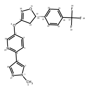 Cn1cc(-c2ccc(OC3=NO[C@H](c4ccc(C(F)(F)F)cc4)C3)cn2)cn1